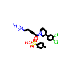 Cc1ccc(S(=O)(=O)O)cc1.NCCC#CC(=O)N1CCCC(c2ccc(Cl)c(Cl)c2)C1